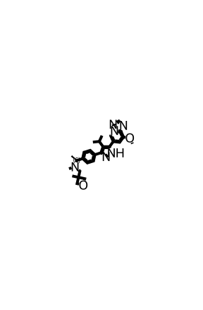 COc1cc(-c2[nH]nc(-c3ccc([C@H](C)N(C)CC4(C)COC4)cc3)c2C(C)C)cn2ncnc12